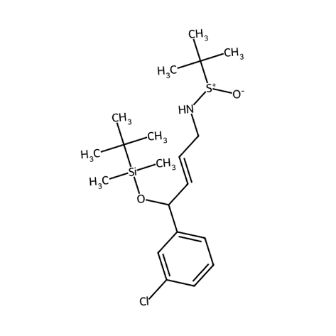 CC(C)(C)[S+]([O-])NCC=CC(O[Si](C)(C)C(C)(C)C)c1cccc(Cl)c1